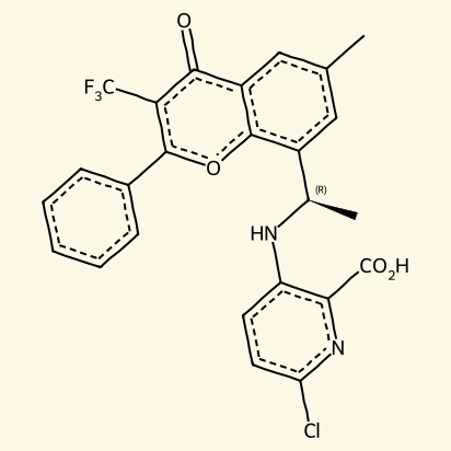 Cc1cc([C@@H](C)Nc2ccc(Cl)nc2C(=O)O)c2oc(-c3ccccc3)c(C(F)(F)F)c(=O)c2c1